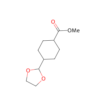 COC(=O)C1CCC(C2OCCO2)CC1